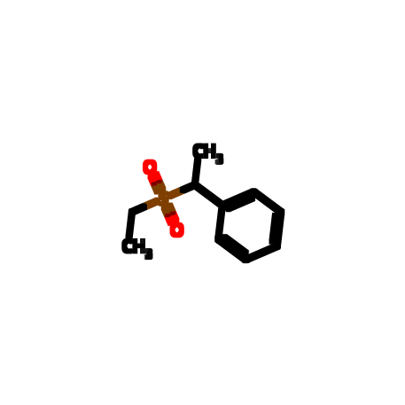 CCS(=O)(=O)C(C)c1ccccc1